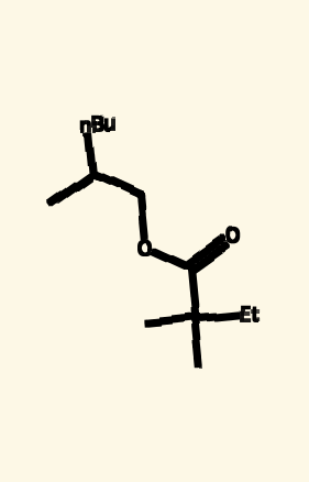 CCCCC(C)COC(=O)C(C)(C)CC